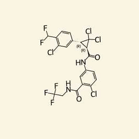 O=C(NCC(F)(F)F)c1cc(NC(=O)[C@H]2[C@H](c3ccc(C(F)F)c(Cl)c3)C2(Cl)Cl)ccc1Cl